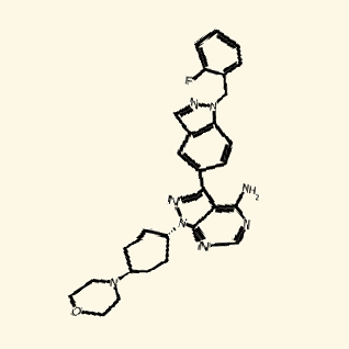 Nc1ncnc2c1c(-c1ccc3c(cnn3Cc3ccccc3F)c1)nn2[C@H]1CC[C@H](N2CCOCC2)CC1